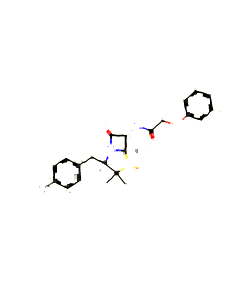 CC1(C)[S+]([O-])[C@@H]2[C@H](NC(=O)COc3ccccc3)C(=O)N2[C@@]1(Cc1ccc([N+](=O)[O-])cc1)C(=O)O